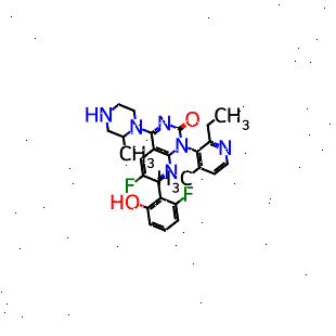 CCc1nccc(C)c1-n1c(=O)nc(N2CCNCC2C)c2cc(F)c(-c3c(O)cccc3F)nc21